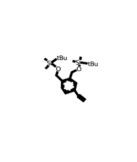 C#Cc1ccc(CO[Si](C)(C)C(C)(C)C)c(CO[Si](C)(C)C(C)(C)C)c1